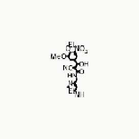 CC/C=N\C(=C/C=N)CNC(=O)/C(C#N)=C(\O)c1cc(OC)c(OCC)c([N+](=O)[O-])c1